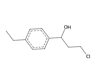 CCc1ccc(C(O)CCCl)cc1